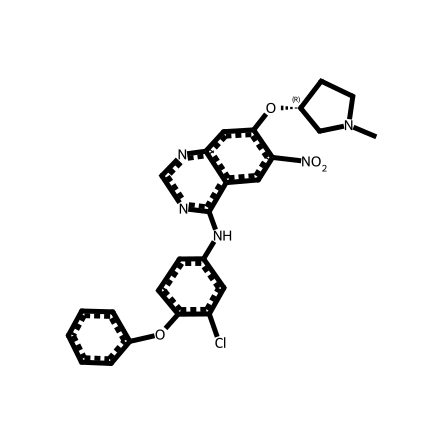 CN1CC[C@@H](Oc2cc3ncnc(Nc4ccc(Oc5ccccc5)c(Cl)c4)c3cc2[N+](=O)[O-])C1